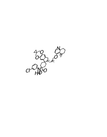 C[C@@H](COc1ccnc2c1[C@H](C)CCC2)C[C@H]1Cc2cc3c(cc2C12CCC(Nc1cccc(Cl)c1)(C(=O)O)CC2)OCC1(CC1)CO3